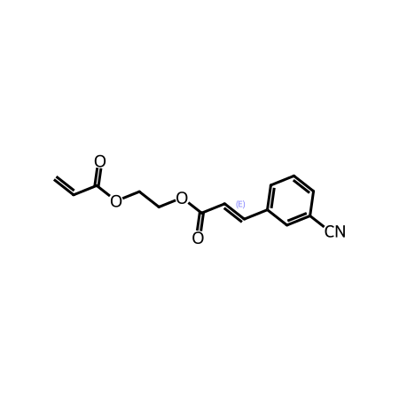 C=CC(=O)OCCOC(=O)/C=C/c1cccc(C#N)c1